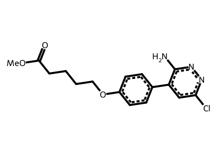 COC(=O)CCCCOc1ccc(-c2cc(Cl)nnc2N)cc1